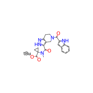 CN(C(=O)c1[nH]nc2c1CN(C(=O)c1cc3ccccc3[nH]1)CC2)C1(C(=O)OC(C)(C)C)CC1